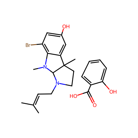 CC(C)=CCN1CCC2(C)c3cc(O)cc(Br)c3N(C)C12.O=C(O)c1ccccc1O